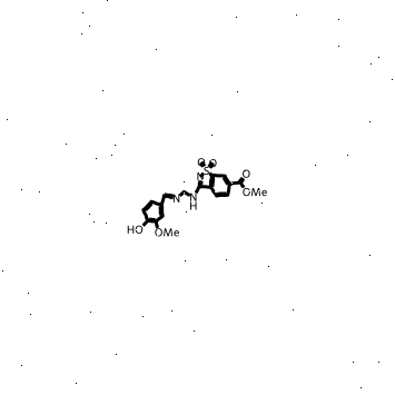 COC(=O)c1ccc2c(c1)S(=O)(=O)N=C2NC/N=C/c1ccc(O)c(OC)c1